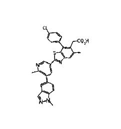 Cc1cc2nc(-c3cnc(C)c(-c4ccc5c(cnn5C)c4)c3)sc2c(-c2ccc(Cl)cc2)c1CC(=O)O